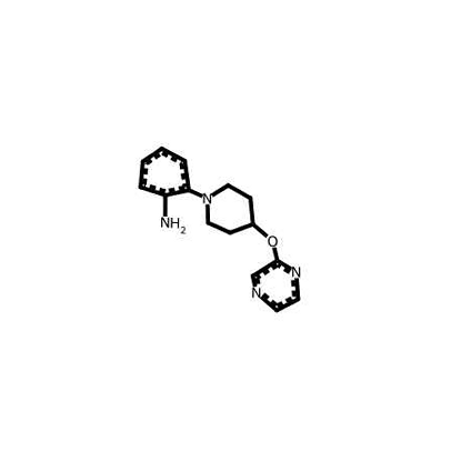 Nc1ccccc1N1CCC(Oc2cnccn2)CC1